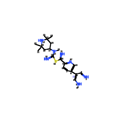 CN/C=C(\C=N)c1ccc(C(=N)SC(=N)N(C)C2CC(C)(C)NC(C)(C)C2)nc1